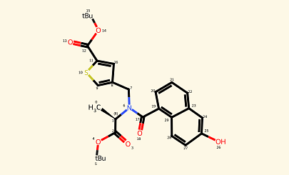 C[C@H](C(=O)OC(C)(C)C)N(Cc1csc(C(=O)OC(C)(C)C)c1)C(=O)c1cccc2cc(O)ccc12